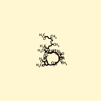 COc1cc2cc(c1Cl)N(C)C(=O)C[C@H](OC(=O)[C@H](C)N(C)C(=O)CCC(C)SSC(C)CCC(C)=O)[C@]1(C)O[C@H]1[C@H](C)[C@@H]1C[C@@](O)(NC(=O)O1)[C@H](OC)/C=C/C=C(\C)C2